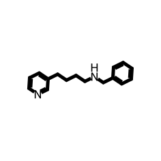 c1ccc(CNCCCCc2cccnc2)cc1